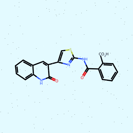 O=C(O)c1ccccc1C(=O)Nc1nc(-c2cc3ccccc3[nH]c2=O)cs1